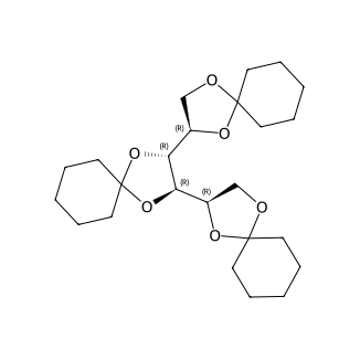 C1CCC2(CC1)O[C@H]([C@H]1COC3(CCCCC3)O1)[C@@H]([C@H]1COC3(CCCCC3)O1)O2